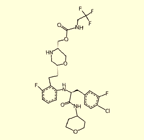 O=C(NCC(F)(F)F)OC[C@@H]1CO[C@H](CCc2c(F)cccc2N[C@@H](Cc2ccc(Cl)c(F)c2)C(=O)NC2CCOCC2)CN1